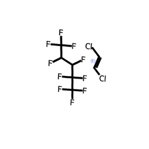 Cl/C=C/Cl.FC(C(F)C(F)(F)C(F)(F)F)C(F)(F)F